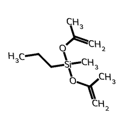 C=C(C)O[Si](C)(CCC)OC(=C)C